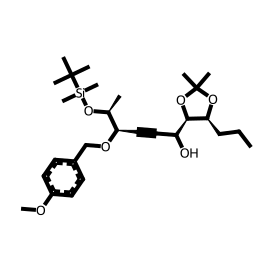 CCC[C@@H]1OC(C)(C)O[C@@H]1C(O)C#C[C@@H](OCc1ccc(OC)cc1)[C@H](C)O[Si](C)(C)C(C)(C)C